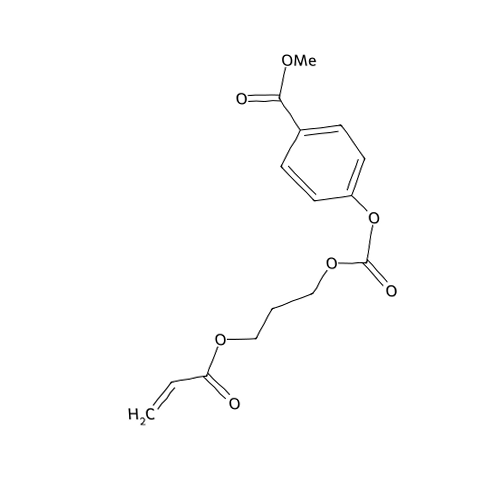 C=CC(=O)OCCCOC(=O)Oc1ccc(C(=O)OC)cc1